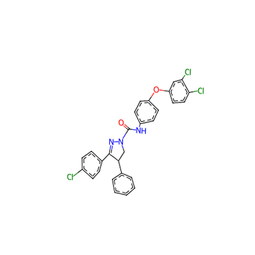 O=C(Nc1ccc(Oc2ccc(Cl)c(Cl)c2)cc1)N1CC(c2ccccc2)C(c2ccc(Cl)cc2)=N1